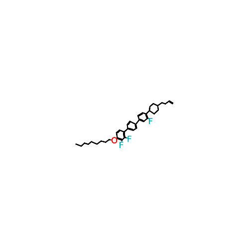 C=CCCC1CCC(c2ccc(-c3ccc(-c4ccc(OCCCCCCCCC)c(F)c4F)cc3)cc2F)CC1